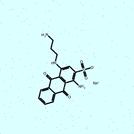 NCCCNc1cc(S(=O)(=O)[O-])c(N)c2c1C(=O)c1ccccc1C2=O.[Na+]